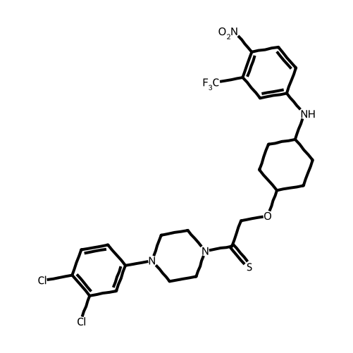 O=[N+]([O-])c1ccc(NC2CCC(OCC(=S)N3CCN(c4ccc(Cl)c(Cl)c4)CC3)CC2)cc1C(F)(F)F